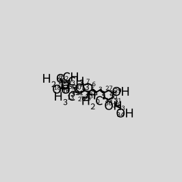 C=C1/C(=C\C=C2/CCC[C@]3(C)[C@@H]([C@H](C)C[C@H]4OC(=O)C(=C)C4(C)C)CC[C@@H]23)C[C@@H](O)[C@H](CCCO)[C@@H]1O